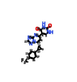 O=c1[nH]cc(-c2cc([C@@H]3C[C@H]3c3ccc(C(F)(F)F)cc3)n3ncnc3n2)c(=O)[nH]1